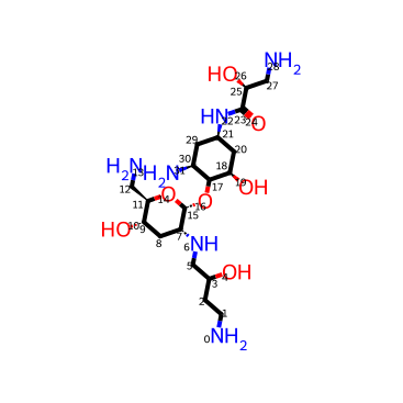 NCCC(O)CN[C@@H]1C[C@H](O)[C@@H](CN)O[C@@H]1OC1[C@H](O)C[C@H](NC(=O)[C@@H](O)CN)C[C@@H]1N